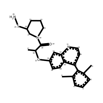 Cc1cccc(C)c1-c1ccnc2cc(OC(C)C(=O)N3CCCC(SN)C3)ccc12